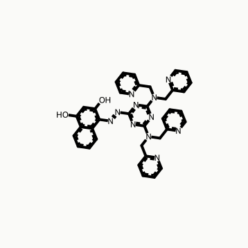 Oc1cc(O)c2ccccc2c1/N=N/c1nc(N(Cc2ccccn2)Cc2ccccn2)nc(N(Cc2ccccn2)Cc2ccccn2)n1